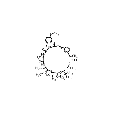 CC[C@H](C)[C@@H]1NC(=O)[C@H](C)NC(=O)[C@H](Cc2ccc(OC)cc2)NC(=O)CC[C@@H]2CSC(=N2)[C@@H](C)[C@@H](O)C[C@H](C)C[C@@H](C(C)(C)C)OC(O)[C@H](C)N(C)C1=O